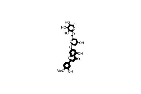 COc1ccc(-c2cc(=O)c3c(O)cc(O[C@H]4C[C@@H](O)C[C@@H](CO[C@@H]5O[C@@H](C)[C@H](O)[C@@H](O)[C@H]5O)O4)cc3o2)cc1O